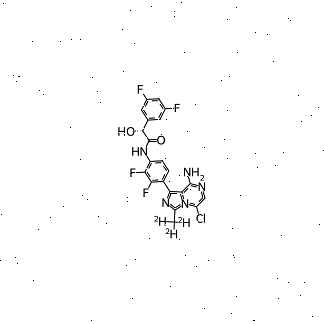 [2H]C([2H])([2H])c1nc(-c2ccc(NC(=O)[C@H](O)c3cc(F)cc(F)c3)c(F)c2F)c2c(N)ncc(Cl)n12